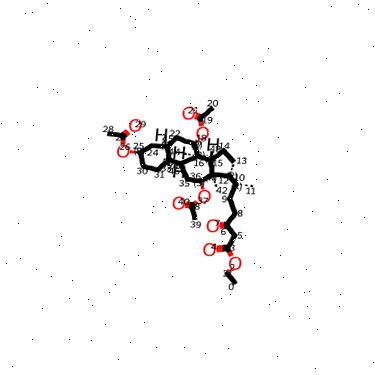 CCOC(=O)CC(=O)CC[C@@H](C)[C@H]1CC[C@H]2[C@@H]3[C@H](OC(C)=O)C[C@@H]4C[C@H](OC(C)=O)CC[C@]4(C)[C@H]3C[C@H](OC(C)=O)[C@]12C